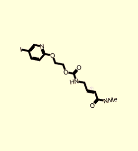 CNC(=O)/C=C/CNC(=O)OCCOc1ccc(I)cn1